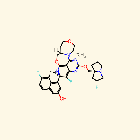 Cc1c(F)ccc2cc(O)cc(-c3nc4c5c(nc(OC[C@@]67CCCN6C[C@H](F)C7)nc5c3F)N3[C@@H](CCOC[C@@H]3C)CO4)c12